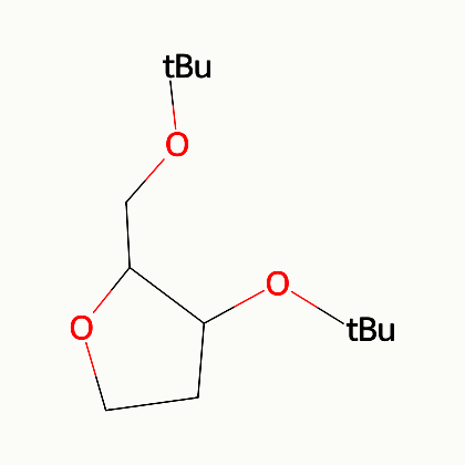 CC(C)(C)OCC1OCCC1OC(C)(C)C